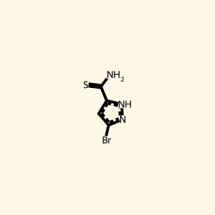 NC(=S)c1cc(Br)n[nH]1